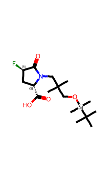 CC(C)(CO[Si](C)(C)C(C)(C)C)CN1C(=O)[C@H](F)C[C@H]1C(=O)O